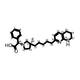 O=C(O)[C@@H](c1ccccc1)N1CC[C@](F)(CCCCCc2ccc3c(n2)NCCC3)C1